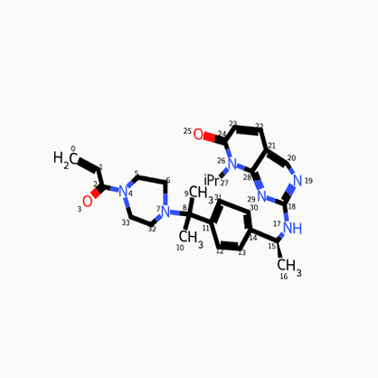 C=CC(=O)N1CCN(C(C)(C)c2ccc([C@H](C)Nc3ncc4ccc(=O)n(C(C)C)c4n3)cc2)CC1